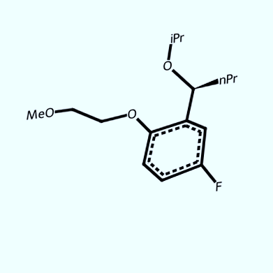 CCC[C@H](OC(C)C)c1cc(F)ccc1OCCOC